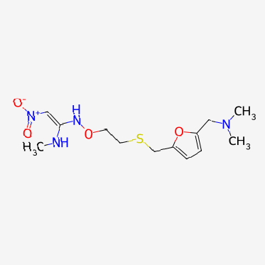 CNC(=C[N+](=O)[O-])NOCCSCc1ccc(CN(C)C)o1